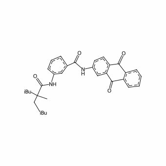 CCC(C)CC(C)(C(=O)Nc1cccc(C(=O)Nc2ccc3c(c2)C(=O)c2ccccc2C3=O)c1)C(C)CC